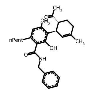 C=C(C)[C@@H]1CCC(C)=C[C@H]1c1c(O)cc(CCCCC)c(C(=O)NCc2ccccc2)c1O